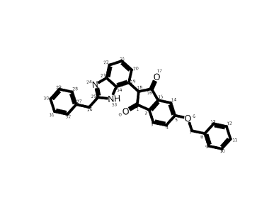 O=C1c2ccc(OCc3ccccc3)cc2C(=O)C1c1cccc2nc(Cc3ccccc3)[nH]c12